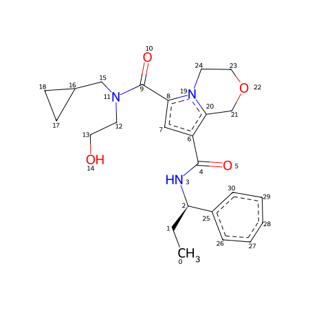 CC[C@@H](NC(=O)c1cc(C(=O)N(CCO)CC2CC2)n2c1COCC2)c1ccccc1